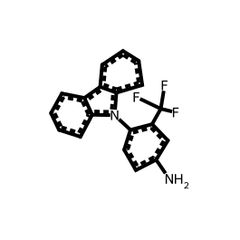 Nc1ccc(-n2c3ccccc3c3ccccc32)c(C(F)(F)F)c1